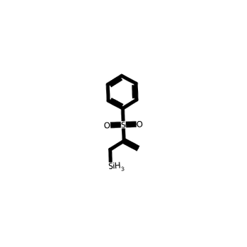 C=C(C[SiH3])S(=O)(=O)c1ccccc1